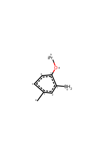 Bc1cc(C)ccc1OC(C)C